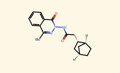 CC(C)(C)c1nn(NC(=O)C[C@H]2C[C@@H]3CC[C@H]2C3)c(=O)c2ccccc12